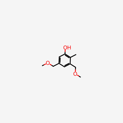 COCc1cc(O)c(C)c(COC)c1